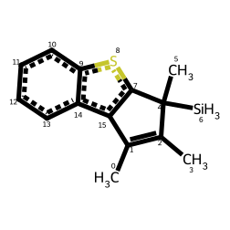 CC1=C(C)C(C)([SiH3])c2sc3ccccc3c21